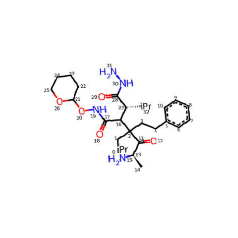 CC(C)CC(CCc1ccccc1)(C(=O)[C@@H](C)N)C(C(=O)NOC1CCCCO1)[C@H](C(=O)NN)C(C)C